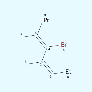 CC/C=C(C)\C(Br)=C(/C)C(C)C